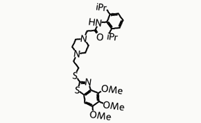 COc1cc2sc(SCCN3CCN(CC(=O)Nc4c(C(C)C)cccc4C(C)C)CC3)nc2c(OC)c1OC